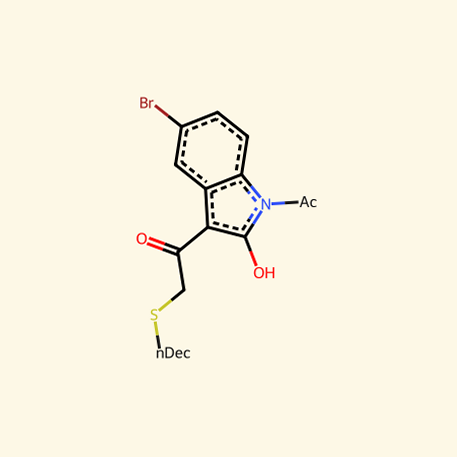 CCCCCCCCCCSCC(=O)c1c(O)n(C(C)=O)c2ccc(Br)cc12